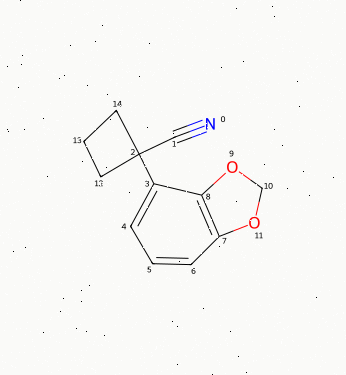 N#CC1(c2cccc3c2OCO3)CCC1